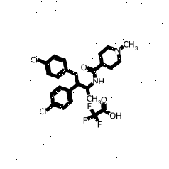 CC(NC(=O)C1CCN(C)CC1)C(Cc1ccc(Cl)cc1)c1ccc(Cl)cc1.O=C(O)C(F)(F)F